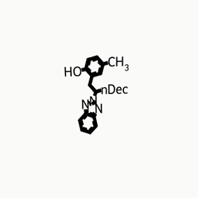 CCCCCCCCCCC(Cc1cc(C)ccc1O)n1nc2ccccc2n1